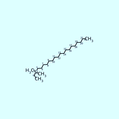 C[CH][Si](C)(C)CCCCCCCCCCCCCCCCCC